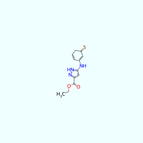 CCOC(=O)c1cc(NC2=CC(=S)CC=C2)[nH]n1